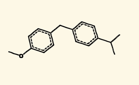 COc1ccc(Cc2ccc(C(C)C)cc2)cc1